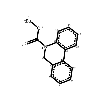 CC(C)(C)OC(=O)N1Cc2ccccc2-c2ccccc21